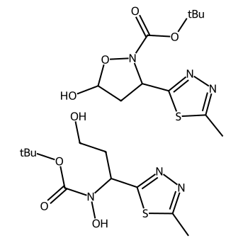 Cc1nnc(C(CCO)N(O)C(=O)OC(C)(C)C)s1.Cc1nnc(C2CC(O)ON2C(=O)OC(C)(C)C)s1